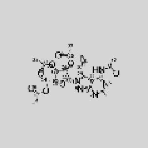 CC(=O)Nc1ncnc2nn([C@@H]3O[C@H](COC(C)=O)[C@@H](OC(C)=O)[C@H]3OC(C)=O)c(C#N)c12